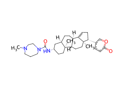 CN1CCCN(C(=O)N[C@H]2CC[C@@]3(C)[C@H](CC[C@H]4C5=CC[C@H](c6ccc(=O)oc6)[C@@]5(C)CC[C@@H]43)C2)CC1